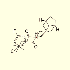 CC(C)(C)CCC(=O)CCCC1[C@@H]2CC[C@H]1C[C@H](CNC(=O)c1cc(F)cc(Cl)c1)C2